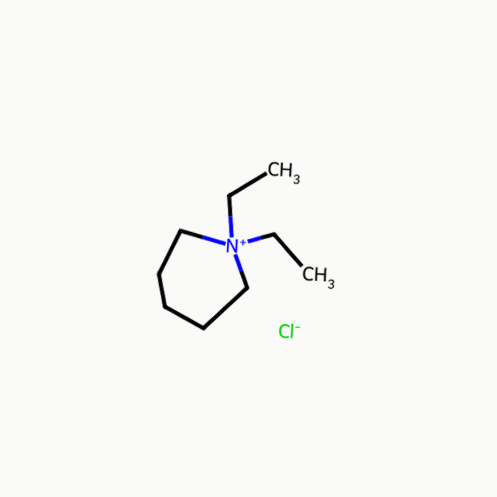 CC[N+]1(CC)CCCCC1.[Cl-]